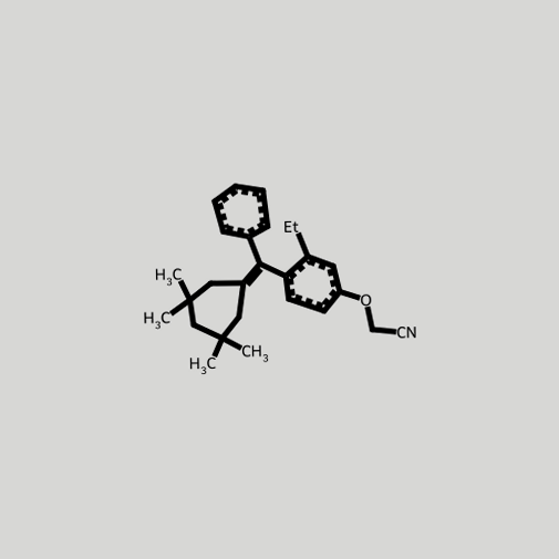 CCc1cc(OCC#N)ccc1C(=C1CC(C)(C)CC(C)(C)C1)c1ccccc1